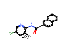 O=C(Nc1ncc(Cl)cc1C(=O)O)c1ccc2ccccc2c1